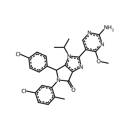 COc1nc(N)ncc1-c1nc2c(n1C(C)C)C(c1ccc(Cl)cc1)N(c1cc(Cl)ccc1C)C2=O